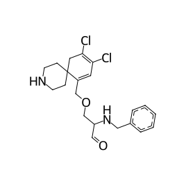 O=CC(COCC1=CC(Cl)=C(Cl)CC12CCNCC2)NCc1ccccc1